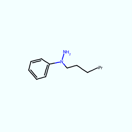 CC(C)CCCN(N)c1ccccc1